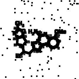 CCC(Cc1nc2c3cccc(OC)c3nc(N)n2n1)N1Cc2nc(C)oc2C1